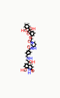 O=C(N[C@@H]1CCCN(C(=O)COc2cccc(C(O)(C(=O)O)c3ccccc3)c2)C1)c1ccc(CNCC(O)c2ccc(O)c3[nH]c(=O)ccc23)cc1